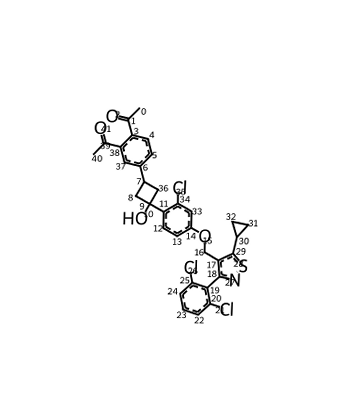 CC(=O)c1ccc(C2CC(O)(c3ccc(OCc4c(-c5c(Cl)cccc5Cl)nsc4C4CC4)cc3Cl)C2)cc1C(C)=O